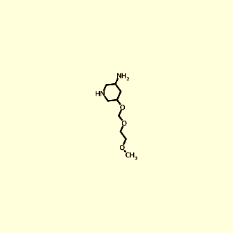 COCCOCOC1CNCC(N)C1